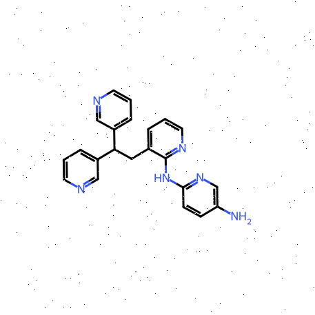 Nc1ccc(Nc2ncccc2CC(c2cccnc2)c2cccnc2)nc1